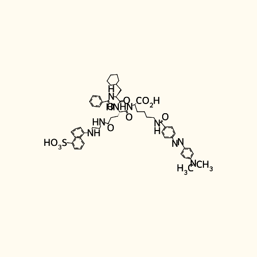 CN(C)c1ccc(/N=N/c2ccc(C(=O)NCCCC[C@H](NC(=O)[C@H](CCC(=O)NCCNc3cccc4c(S(=O)(=O)O)cccc34)NC(=O)[C@H](CC3CCCCC3)NC(=O)c3ccccc3)C(=O)O)cc2)cc1